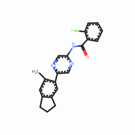 Cc1cc2c(cc1-c1cnc(NC(=O)c3ccccc3F)cn1)CCC2